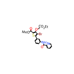 CCOC(=O)COc1c(C(=O)OC)sc(-c2cccc(NC(=O)c3ccccn3)c2)c1Br